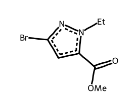 CCn1nc(Br)cc1C(=O)OC